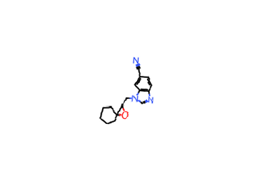 N#Cc1ccc2ncn(C[C@H]3OC34CCCCC4)c2c1